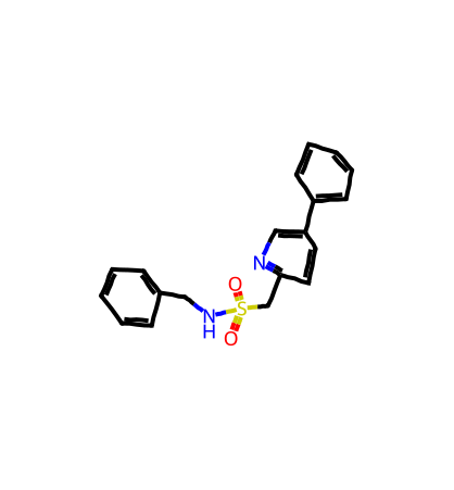 O=S(=O)(Cc1ccc(-c2ccccc2)cn1)NCc1ccccc1